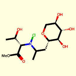 COC(=O)[C@H](C(C)O)N(Cl)C(C)C[C@@H]1OC[C@@H](O)[C@H](O)[C@H]1O